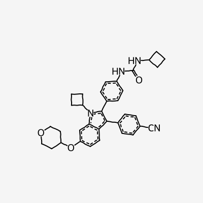 N#Cc1ccc(-c2c(-c3ccc(NC(=O)NC4CCC4)cc3)n(C3CCC3)c3cc(OC4CCOCC4)ccc23)cc1